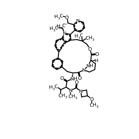 CCn1c(-c2cccnc2[C@H](C)OC)c2c3cc(ccc31)-c1cccc(c1)C[C@H](NC(=O)C(C(C)C)N(C)C(=O)N1CC(OC)C1)C(=O)N1CCC[C@H](N1)C(=O)OCC(C)(C)C2